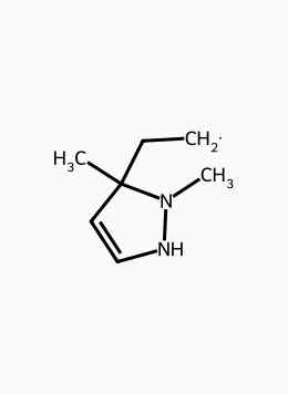 [CH2]CC1(C)C=CNN1C